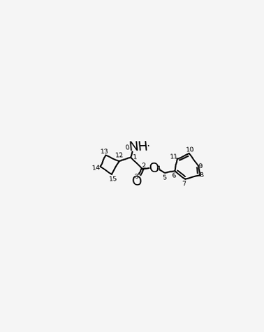 [NH]C(C(=O)OCc1ccccc1)C1CCC1